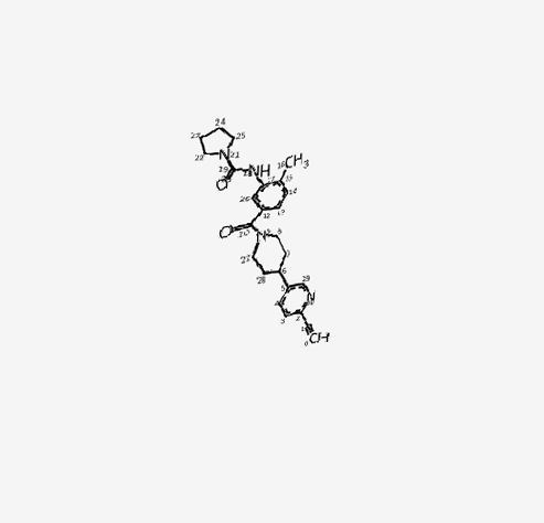 C#Cc1ccc(C2CCN(C(=O)c3ccc(C)c(NC(=O)N4CCCC4)c3)CC2)cn1